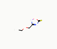 CCOCc1nc(=S)o[nH]1